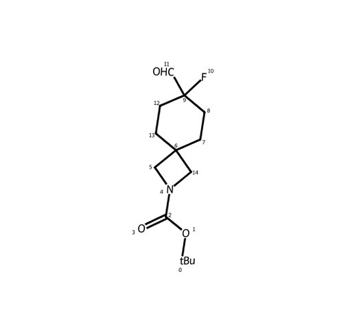 CC(C)(C)OC(=O)N1CC2(CCC(F)(C=O)CC2)C1